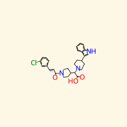 O=C(O)C(C1CCN(C(=O)/C=C/c2cccc(Cl)c2)CC1)N1CCC(c2c[nH]c3ccccc23)CC1